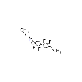 CCCCC/C=C/Oc1ccc(-c2ccc(CCC)c(F)c2F)c(F)c1F